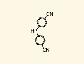 N#Cc1ccc(Pc2ccc(C#N)cc2)cc1